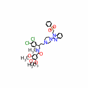 COc1cc(C(=O)N(C)CC(CCN2CCCN(c3nc4ccccc4n3CCS(=O)(=O)c3ccccc3)CC2)c2ccc(Cl)c(Cl)c2)cc(OC)c1OC